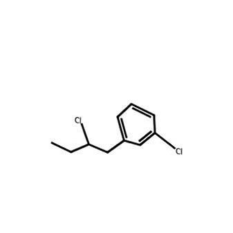 CCC(Cl)Cc1cccc(Cl)c1